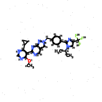 COc1ncnc(C2CC2)c1-c1ncc2cn(Cc3ccc(-c4nc(C(F)(F)F)cn4C(C)C)cc3)nc2n1